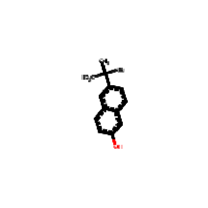 CC(C)(C)C(C)(C(=O)O)c1ccc2cc(O)ccc2c1